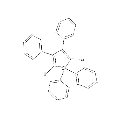 [Li][C]1=C(c2ccccc2)C(c2ccccc2)=[C]([Li])[Si]1(c1ccccc1)c1ccccc1